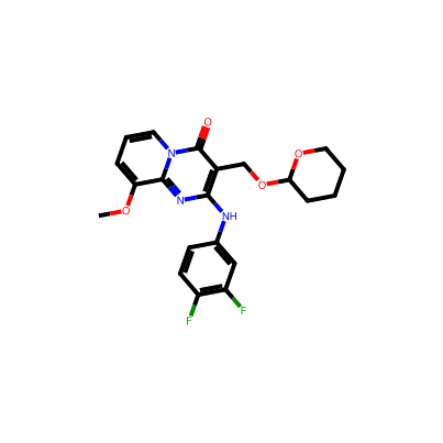 COc1cccn2c(=O)c(COC3CCCCO3)c(Nc3ccc(F)c(F)c3)nc12